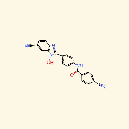 N#Cc1ccc(C(=O)Nc2ccc(-c3nc4ccc(C#N)cc4n3O)cc2)cc1